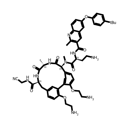 Cc1nc2ccc(Oc3ccc(C(C)(C)C)cc3)cc2cc1C(=O)N[C@@H](CCN)C(=O)N(C)[C@@H]1C(=O)N[C@@H](C)C(=O)N[C@H](C(=O)NCC#N)Cc2ccc(OCCN)c(c2)-c2cc1ccc2OCCN